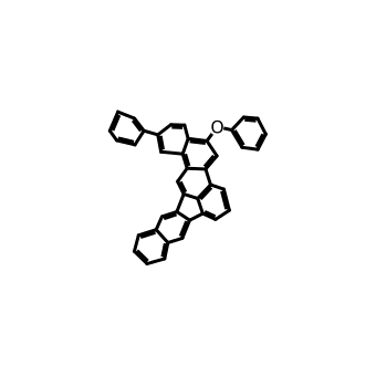 c1ccc(Oc2cc3c4cccc5c4c(cc3c3cc(-c4ccccc4)ccc23)-c2cc3ccccc3cc2-5)cc1